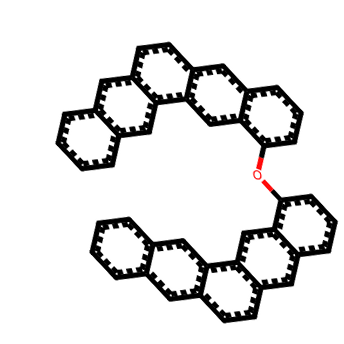 c1ccc2cc3c(ccc4cc5cccc(Oc6cccc7cc8ccc9cc%10ccccc%10cc9c8cc67)c5cc43)cc2c1